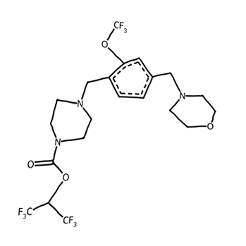 O=C(OC(C(F)(F)F)C(F)(F)F)N1CCN(Cc2ccc(CN3CCOCC3)cc2OC(F)(F)F)CC1